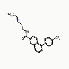 O=C(O)/C=C/CCNC(=O)c1ccc2c(-c3ccc(C(F)(F)F)cc3)cccc2c1